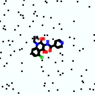 CCN1c2cccc(Cl)c2C(O)=C(NC(=O)c2ccncc2)C1O